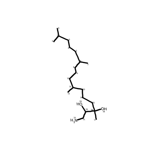 CC(C)CCCC(C)CCCC(C)CCCC(C)(O)C(O)CN